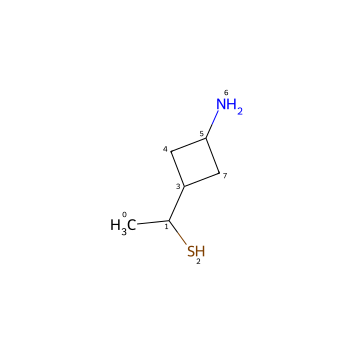 CC(S)C1CC(N)C1